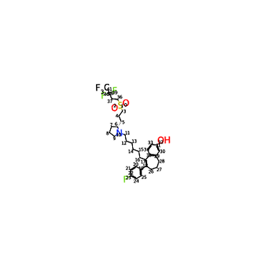 O=S(=O)(CCC[C@H]1CCCN1CCCCCCC1=C(c2ccc(F)cc2)CCCc2cc(O)ccc21)CCC(F)(F)C(F)(F)F